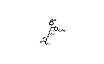 COc1ccc(C(CNC[C@H](O)COc2ccc(O)c(CO)c2)c2ccc(OC)cc2)cc1